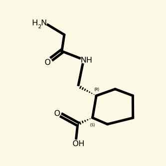 NCC(=O)NC[C@@H]1CCCC[C@@H]1C(=O)O